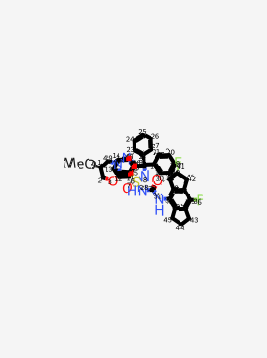 CO[C@@H]1COc2c([S@](=O)(=NC(c3ccccc3)(c3ccccc3)c3ccccc3)NC(=O)Nc3c4c(c(F)c5c3C[C@H](F)C5)CCC4)cnn2C1